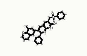 O=c1[nH]c2nc(-c3ccccc3)c(-c3cc(Cl)c4ncccc4c3)cc2cc1CS(=O)(=O)c1ccccc1